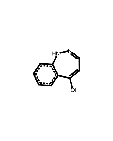 OC1=CC=NNc2ccccc21